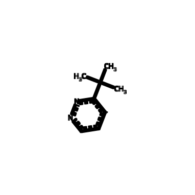 CC(C)(C)c1[c]ccnn1